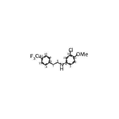 COc1ccc(NCCc2ccc(C(F)(F)F)cc2)cc1Cl